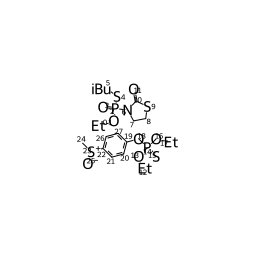 CCOP(=O)(SC(C)CC)N1CCSC1=O.CCOP(=S)(OCC)Oc1ccc([S+](C)[O-])cc1